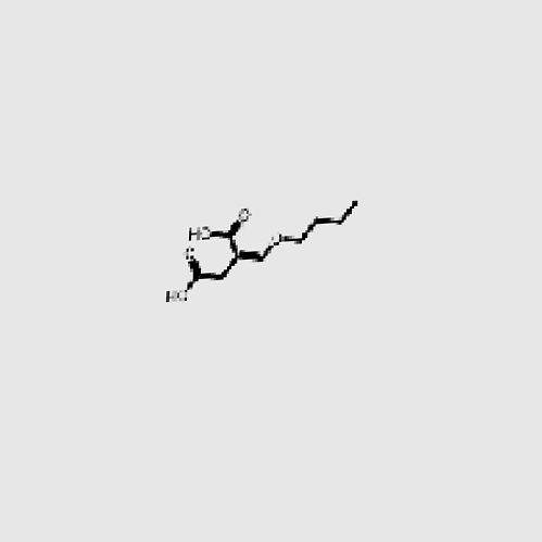 CCCCOC=C(CC(=O)O)C(=O)O